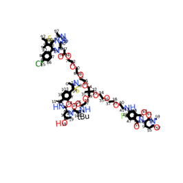 Cc1ncsc1-c1ccc([C@H](C)NC(=O)[C@@H]2C[C@@H](O)CN2C(=O)[C@@H](NC(=O)COCC(C)(COCCOCCOCCNc2cc3c(cc2F)C(=O)N(C2CCC(=O)N(C)C2=O)C3=O)COCCOCCOCCOC(=O)C[C@@H]2N=C(c3ccc(Cl)cc3)c3c(sc(C)c3C)-n3c(C)nnc32)C(C)(C)C)cc1